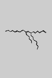 CCCCCCCCC([CH]C(CCCCCC)CCCCCCC)CCCCC